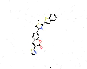 O=c1oc2cc(-c3csc(-c4cc5ccccc5s4)n3)ccc2cc1-c1nccs1